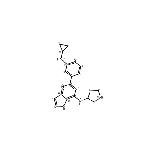 c1cc(-c2nc(NC3CCNC3)c3sccc3n2)cc(NC2CC2)n1